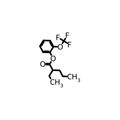 CCCC(CC)C(=O)Oc1ccccc1OC(F)(F)F